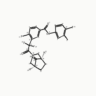 Cc1cc(NC(=O)c2ccc(F)c(C(F)(F)C(=O)N3C[C@H]4CC[C@@H](C3)C4=O)c2)ccc1F